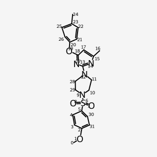 COc1ccc(S(=O)(=O)N2CCN(c3nc(C)cc(Oc4ccc(C)cc4)n3)CC2)cc1